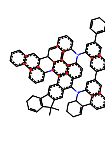 CC1(C)C2=C(CCC=C2)c2cc3c(N(c4cccc(-c5ccccc5)c4)C4C=CC=CC4c4ccccc4)c4cc(N(c5cccc(C6=CCCC=C6)c5)c5ccccc5-c5ccccc5)ccc4c(N(c4cccc(-c5ccccc5)c4)C4CCCC=C4c4ccccc4)c3cc21